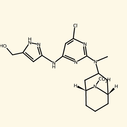 CN(c1nc(Cl)cc(Nc2cc(CO)[nH]n2)n1)C1C[C@H]2CCC[C@@H](C1)N2C(=O)O